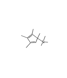 CC1=CC(C)([Si](C)(C)C)C(C)=C1C